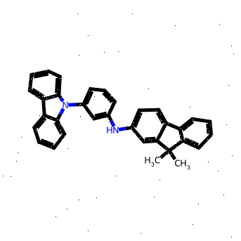 CC1(C)c2ccccc2-c2ccc(Nc3cccc(-n4c5ccccc5c5ccccc54)c3)cc21